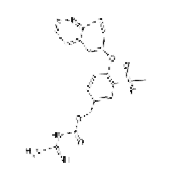 CS(=O)(=O)c1cc(COC(=O)NC(=N)N)ccc1Oc1ccc2ncccc2c1